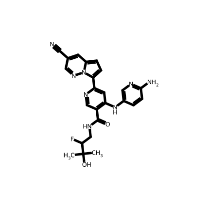 CC(C)(O)C(F)CNC(=O)c1cnc(-c2ccc3cc(C#N)cnn23)cc1Nc1ccc(N)nc1